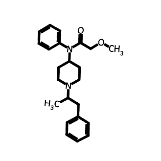 COCC(=O)N(c1ccccc1)C1CCN(C(C)Cc2ccccc2)CC1